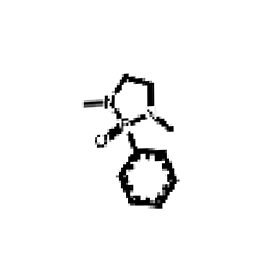 CN1CCN(C)P1(=O)c1ccccc1